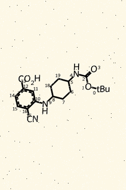 CC(C)(C)OC(=O)NC1CCC(Nc2cc(C(=O)O)ccc2C#N)CC1